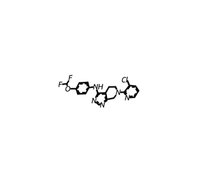 FC(F)Oc1ccc(Nc2ncnc3c2CCN(c2ncccc2Cl)C3)cc1